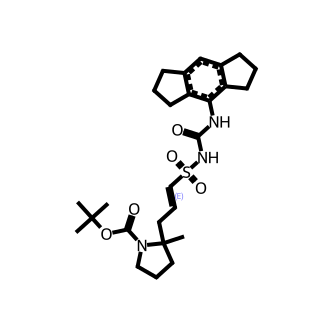 CC(C)(C)OC(=O)N1CCCC1(C)C/C=C/S(=O)(=O)NC(=O)Nc1c2c(cc3c1CCC3)CCC2